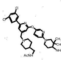 CC(=O)NCC1CCN(Cc2cc(Oc3ccc(N4CCC(N)C(C)(C)C4)nc3)nc(-c3cc(Cl)cc(Cl)c3)c2)CC1